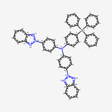 c1ccc([Si](c2ccccc2)(c2ccccc2)c2ccc(N(c3ccc(-n4nc5ccccc5n4)cc3)c3ccc(-n4nc5ccccc5n4)cc3)cc2)cc1